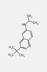 CC(C)Nc1ccc2ncc(C(C)(C)C)cc2c1